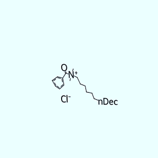 CCCCCCCCCCCCCCCC[N+](C)(C)C(=O)c1ccccc1.[Cl-]